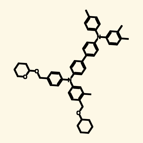 Cc1ccc(N(c2ccc(-c3ccc(N(c4ccc(COC5CCCCO5)cc4)c4ccc(COC5CCCCC5)c(C)c4)cc3)cc2)c2ccc(C)c(C)c2)cc1